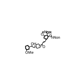 CCCCCCCCCOc1cc(C=CC(=O)N2CCN(CC(O)c3cccc(OC)c3)CC2)cc(OCCCCCCCCC)c1O